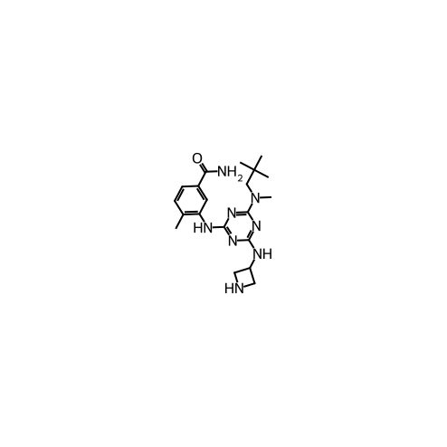 Cc1ccc(C(N)=O)cc1Nc1nc(NC2CNC2)nc(N(C)CC(C)(C)C)n1